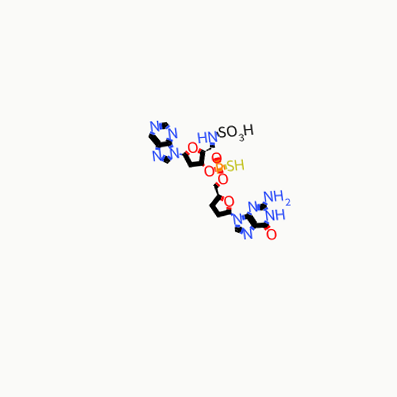 Nc1nc2c(ncn2[C@H]2CC[C@@H](COP(=O)(S)O[C@H]3C[C@H](n4cnc5cncnc54)O[C@@H]3CNS(=O)(=O)O)O2)c(=O)[nH]1